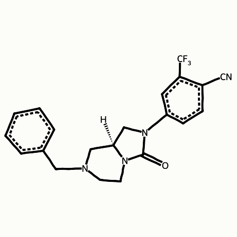 N#Cc1ccc(N2C[C@@H]3CN(Cc4ccccc4)CCN3C2=O)cc1C(F)(F)F